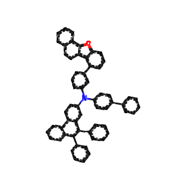 c1ccc(-c2ccc(N(c3cccc(-c4cccc5oc6c7ccccc7ccc6c45)c3)c3ccc4c(c3)c(-c3ccccc3)c(-c3ccccc3)c3ccccc34)cc2)cc1